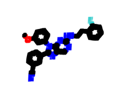 COc1cccc(-n2c(-c3cccc(C#N)c3)nc3cnc(NCCc4ccccc4F)nc32)c1